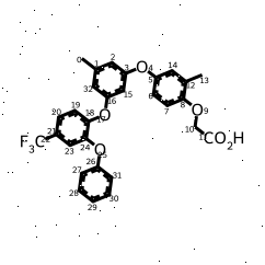 Cc1cc(Oc2ccc(OCC(=O)O)c(C)c2)cc(Oc2ccc(C(F)(F)F)cc2Oc2ccccc2)c1